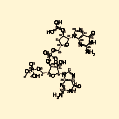 COP(=O)(O)OC[C@H]1O[C@@H](n2cnc3c(=O)[nH]c(N)nc32)[C@H](O)[C@@H]1OP(=O)(O)OC[C@@H]1C[C@@H](OP(O)O)[C@H](n2cnc3c(=O)[nH]c(N)nc32)O1